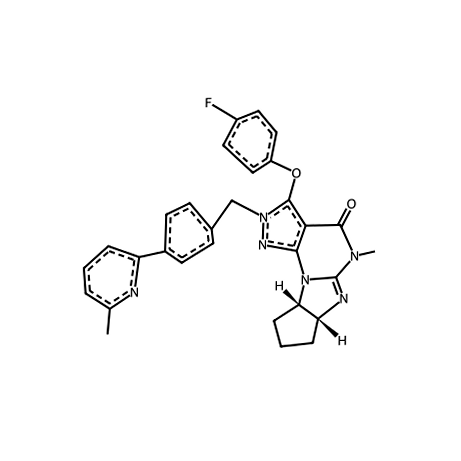 Cc1cccc(-c2ccc(Cn3nc4c(c3Oc3ccc(F)cc3)C(=O)N(C)C3=N[C@@H]5CCC[C@@H]5N34)cc2)n1